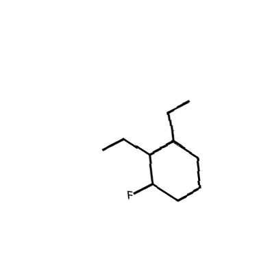 CCC1CCCC(F)C1CC